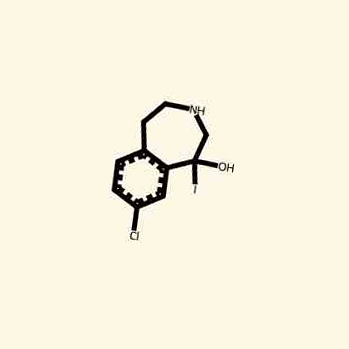 OC1(I)CNCCc2ccc(Cl)cc21